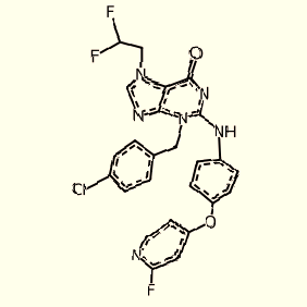 O=c1nc(Nc2ccc(Oc3ccnc(F)c3)cc2)n(Cc2ccc(Cl)cc2)c2ncn(CC(F)F)c12